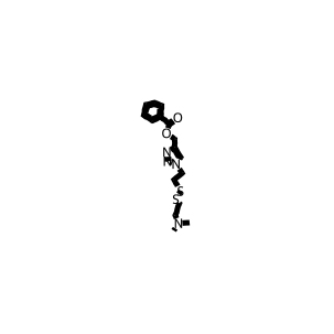 CN(C)CCSSCCn1cc(COC(=O)c2ccccc2)nn1